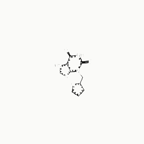 O=c1[nH]c(=S)n(Cc2ccco2)c2nc[nH]c12